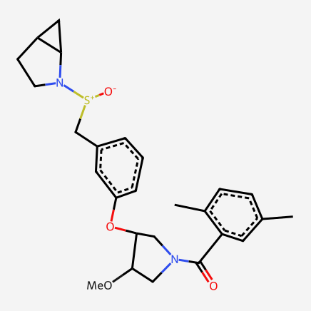 COC1CN(C(=O)c2cc(C)ccc2C)CC1Oc1cccc(C[S+]([O-])N2CCC3CC32)c1